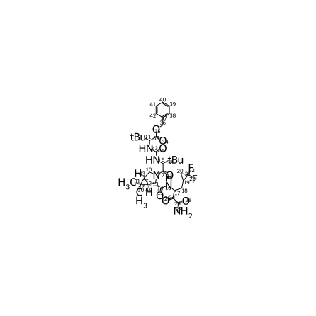 CC(C)(C)[C@H](NC(=O)N[C@H](C(=O)N1C[C@H]2[C@@H]([C@H]1C(=O)NC(CC1CC1(F)F)C(=O)C(N)=O)C2(C)C)C(C)(C)C)C(=O)OCc1ccccc1